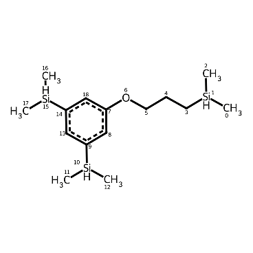 C[SiH](C)CCCOc1cc([SiH](C)C)cc([SiH](C)C)c1